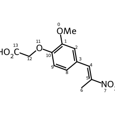 COc1cc(C=C(C)[N+](=O)[O-])ccc1OCC(=O)O